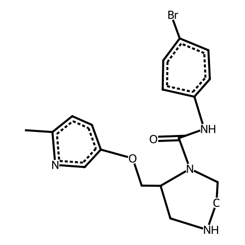 Cc1ccc(OCC2CNCCN2C(=O)Nc2ccc(Br)cc2)cn1